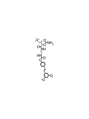 COc1cc(C=Cc2ccc(OC(=O)NCCNC(=O)C(OC(N)=O)C(C)CC(C)(C)C)cc2)cc(OC)c1